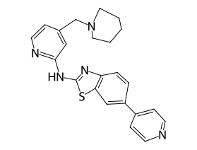 c1cc(-c2ccc3nc(Nc4cc(CN5CCCCC5)ccn4)sc3c2)ccn1